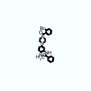 CC(Nc1cc(N2CCN(C(=O)c3ccccc3Br)CC2)ccc1[N+](=O)[O-])c1ccccc1